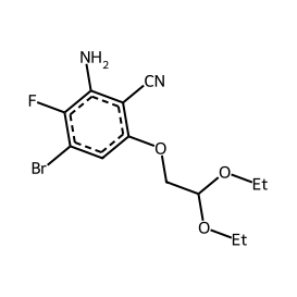 CCOC(COc1cc(Br)c(F)c(N)c1C#N)OCC